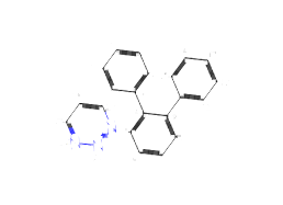 c1ccc(-c2ccccc2-c2ccccc2)cc1.c1cnnnc1